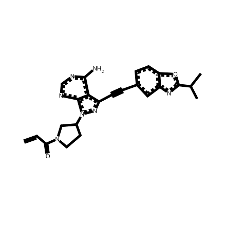 C=CC(=O)N1CCC(n2nc(C#Cc3ccc4oc(C(C)C)nc4c3)c3c(N)ncnc32)C1